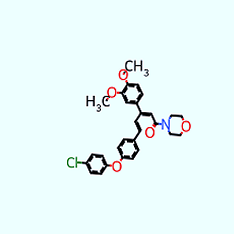 COc1ccc(C(C=Cc2ccc(Oc3ccc(Cl)cc3)cc2)=CC(=O)N2CCOCC2)cc1OC